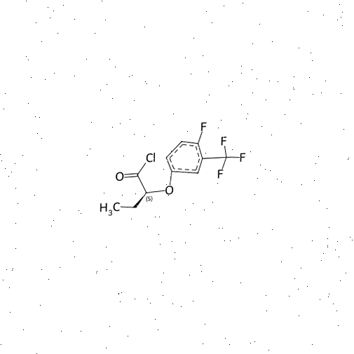 CC[C@H](Oc1ccc(F)c(C(F)(F)F)c1)C(=O)Cl